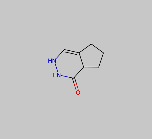 O=C1NNC=C2CCCC12